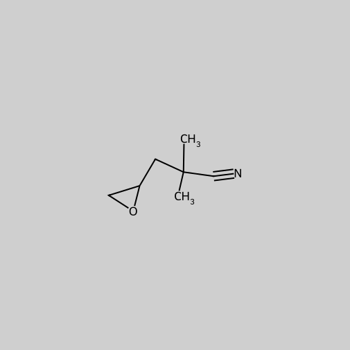 CC(C)(C#N)CC1CO1